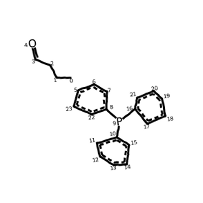 CCCC=O.c1ccc(P(c2ccccc2)c2ccccc2)cc1